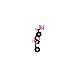 O=C(NO)c1ccc2c(c1)CCC1(CCN(Cc3ccccc3)C1=O)O2